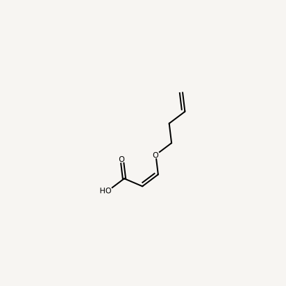 C=CCCO/C=C\C(=O)O